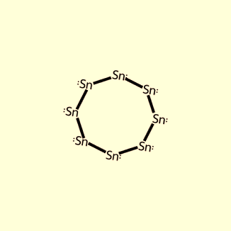 [Sn]1[Sn][Sn][Sn][Sn][Sn][Sn][Sn]1